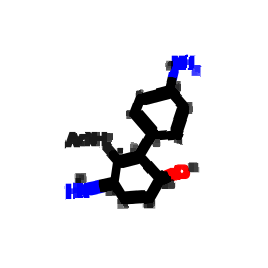 CC(=O)NC1=C(c2ccc(N)cc2)C(=O)C=CC1=N